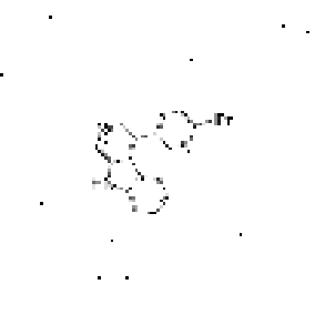 CC(C)c1ccc(-c2cncc3[nH]c4ccccc4c23)cc1